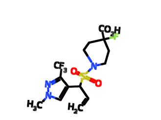 C=CC(c1cn(C)nc1C(F)(F)F)S(=O)(=O)N1CCC(F)(C(=O)O)CC1